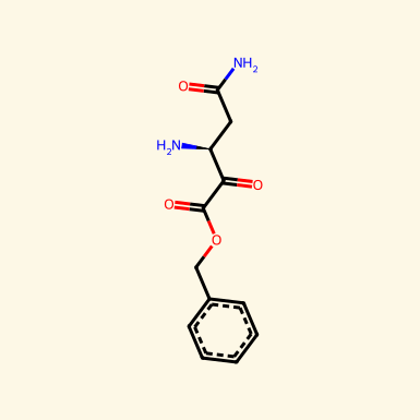 NC(=O)C[C@H](N)C(=O)C(=O)OCc1ccccc1